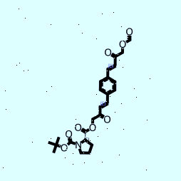 CC(C)(C)OC(=O)N1CCC[C@H]1C(=O)OCC(=O)/C=C/c1ccc(/C=C/C(=O)COC=O)cc1